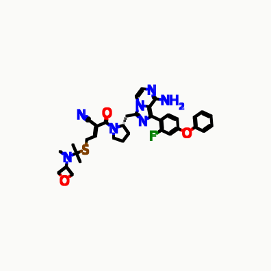 CN(C1COC1)C(C)(C)SC/C=C(\C#N)C(=O)N1CCC[C@H]1Cc1nc(-c2ccc(Oc3ccccc3)cc2F)c2c(N)nccn12